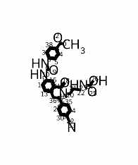 CC(=O)c1ccc(NC(=O)Nc2ccc3c(c2)C(=O)N(CCCNC(=O)O)C(c2ccc(C#N)cc2)C3)cc1